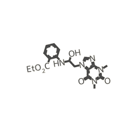 CCOC(=O)c1ccccc1NC(O)Cn1cnc2c1c(=O)n(C)c(=O)n2C